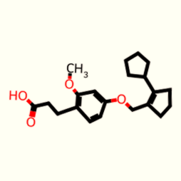 COc1cc(OCC2=C(C3CCCC3)CCC2)ccc1CCC(=O)O